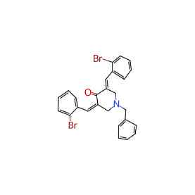 O=C1C(=Cc2ccccc2Br)CN(Cc2ccccc2)CC1=Cc1ccccc1Br